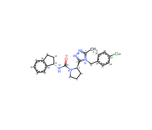 Cc1nnc([C@H]2CCCN2C(=O)N[C@H]2CCc3ccccc32)n1Cc1ccc(Cl)cc1